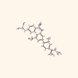 Bc1cc(/N=[SH](=O)\c2ccc(CC(F)F)cc2)cc(-c2ccc(C(=C)OC)cc2Cl)c1